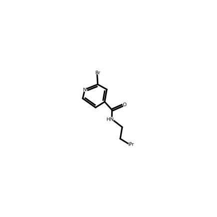 CC(C)CCNC(=O)c1ccnc(Br)c1